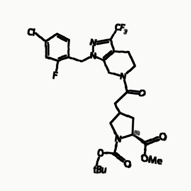 COC(=O)[C@@H]1CC(CC(=O)N2CCc3c(C(F)(F)F)nn(Cc4ccc(Cl)cc4F)c3C2)CN1C(=O)OC(C)(C)C